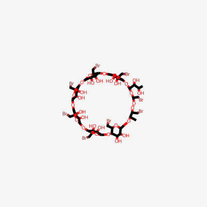 CC(O)C(O)C1OC(CBr)OOC(CBr)C(C)OC2OC(CBr)C(OC3OC(CBr)C(OC4OC(CBr)C(OC5OC(CBr)C(OC6OC(CBr)C(OC7OC(CBr)C(O1)C(O)C7O)C(O)C6O)C(O)C5O)C(O)C4O)C(O)C3O)C(O)C2O